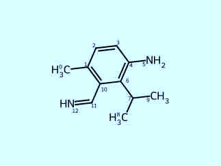 Cc1ccc(N)c(C(C)C)c1C=N